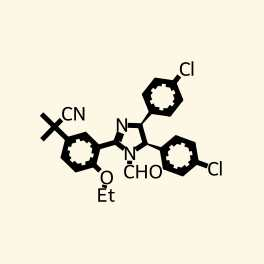 CCOc1ccc(C(C)(C)C#N)cc1C1=N[C@@H](c2ccc(Cl)cc2)[C@@H](c2ccc(Cl)cc2)N1C=O